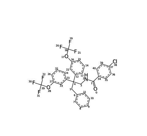 O=C(NCC(Cc1ccccc1)(c1cccc(OC(F)(F)F)c1)c1cccc(OC(F)(F)F)c1)c1ccc(Cl)cc1